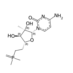 C=P(C)(C)CC[C@H]1O[C@@H](n2ccc(N)nc2=O)[C@](C)(O)[C@@H]1O